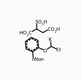 CCCCCCCCCc1ccccc1O[CH]([K])CC.O=C(O)CC(C(=O)O)S(=O)(=O)O